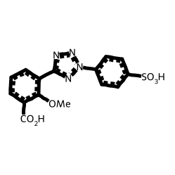 COc1c(C(=O)O)cccc1-c1nnn(-c2ccc(S(=O)(=O)O)cc2)n1